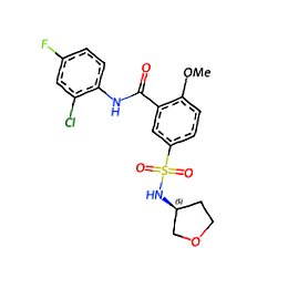 COc1ccc(S(=O)(=O)N[C@H]2CCOC2)cc1C(=O)Nc1ccc(F)cc1Cl